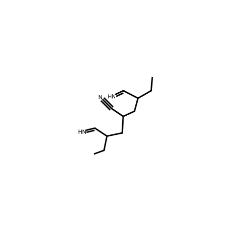 CCC(C=N)CC(C#N)CC(C=N)CC